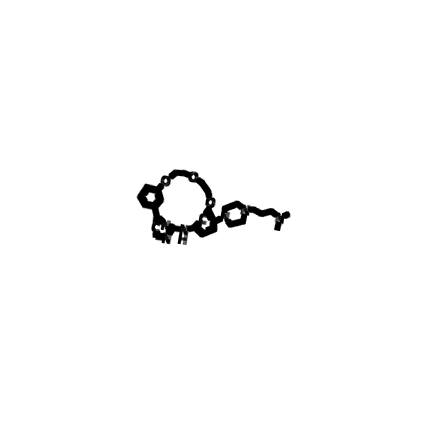 CN(C)CCCN1CCN(c2ccc3cc2OCCOCCOc2cccc(c2)-c2ccnc(n2)N3)CC1